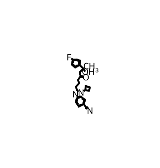 C[C@](O)(CC(=O)CCCc1nc2ccc(C#N)cc2n1C1CCC1)c1ccc(F)cc1